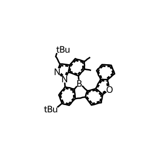 Cc1cc2c(CC(C)(C)C)nn3c2c(c1C)B1c2c(cc(C(C)(C)C)cc2-3)-c2ccc3oc4ccccc4c3c21